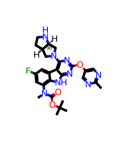 Cc1ncc(Oc2nc(N3C[C@H]4CCN[C@H]4C3)c3c(n2)[nH]c2c(N(C)C(=O)OC(C)(C)C)cc(F)cc23)cn1